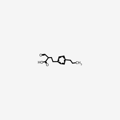 CCCc1ccc(CCC(C=O)C(=O)O)cc1